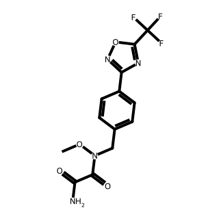 CON(Cc1ccc(-c2noc(C(F)(F)F)n2)cc1)C(=O)C(N)=O